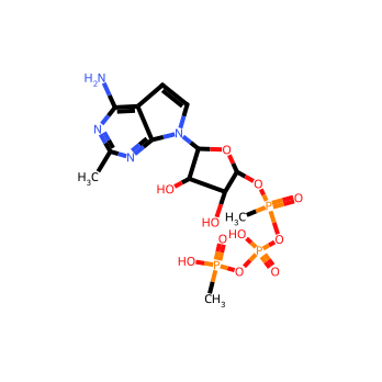 Cc1nc(N)c2ccn(C3OC(OP(C)(=O)OP(=O)(O)OP(C)(=O)O)C(O)C3O)c2n1